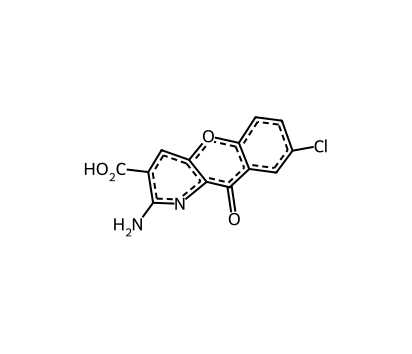 Nc1nc2c(=O)c3cc(Cl)ccc3oc2cc1C(=O)O